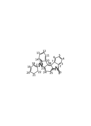 In1c2ccccc2c2c3c4ccccc4n(C4=CC=CCC4)c3ccc21